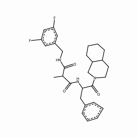 CC(C(=O)NCc1cc(F)cc(F)c1)C(=O)NC(Cc1ccccc1)C(=O)N1CCC2CCCCC2C1